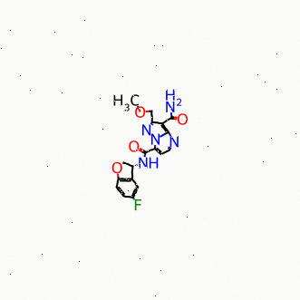 COCc1nn2c(C(=O)N[C@H]3COc4ccc(F)cc43)ccnc2c1C(N)=O